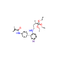 C=C(C)C(=O)Nc1ccc(-c2ccccc2NCCC(C)[Si](OCC)(OCC)OCC)cc1.I